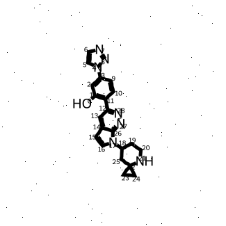 Oc1cc(-n2ccnn2)ccc1-c1cc2ccn(C3CCNC4(CC4)C3)c2nn1